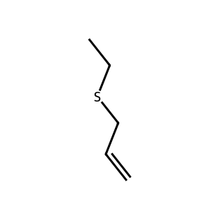 C=CCSCC